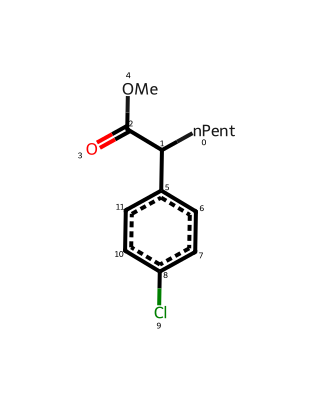 CCCCCC(C(=O)OC)c1ccc(Cl)cc1